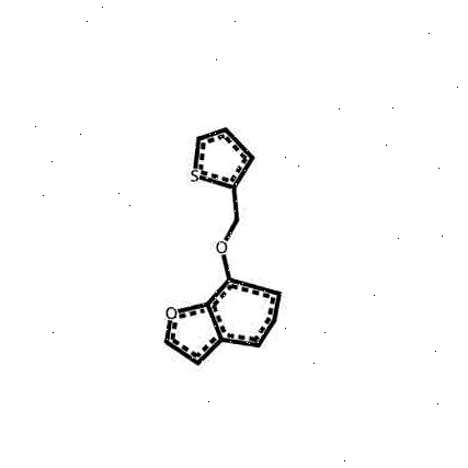 c1csc(COc2cccc3ccoc23)c1